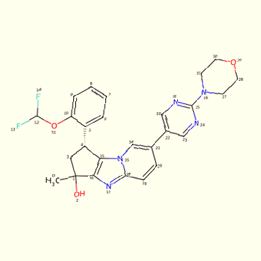 CC1(O)C[C@H](c2ccccc2OC(F)F)c2c1nc1ccc(-c3cnc(N4CCOCC4)nc3)cn21